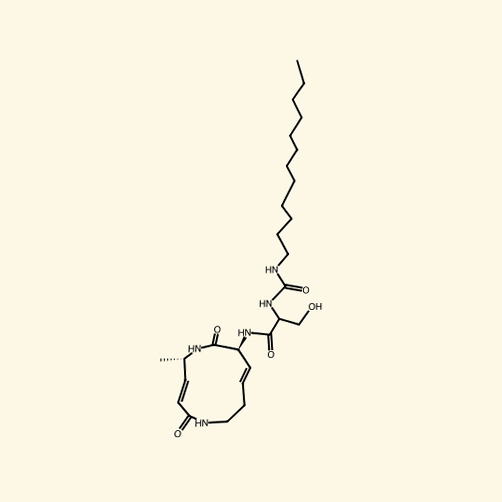 CCCCCCCCCCCCNC(=O)NC(CO)C(=O)N[C@H]1/C=C/CCNC(=O)/C=C/[C@H](C)NC1=O